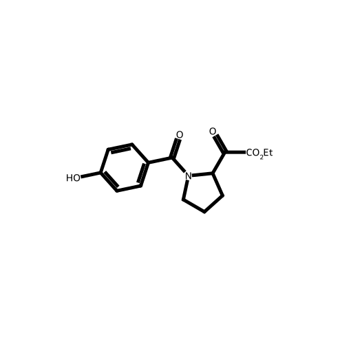 CCOC(=O)C(=O)C1CCCN1C(=O)c1ccc(O)cc1